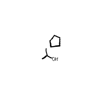 C1CCCC1.CC(C)O